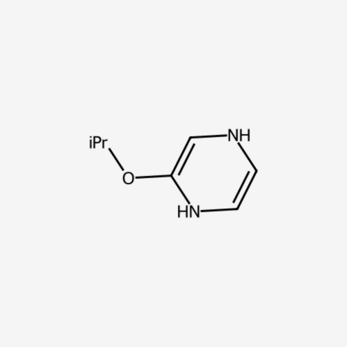 CC(C)OC1=CNC=CN1